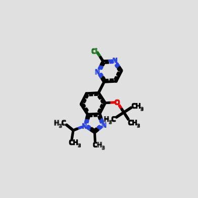 Cc1nc2c(OC(C)(C)C)c(-c3ccnc(Cl)n3)ccc2n1C(C)C